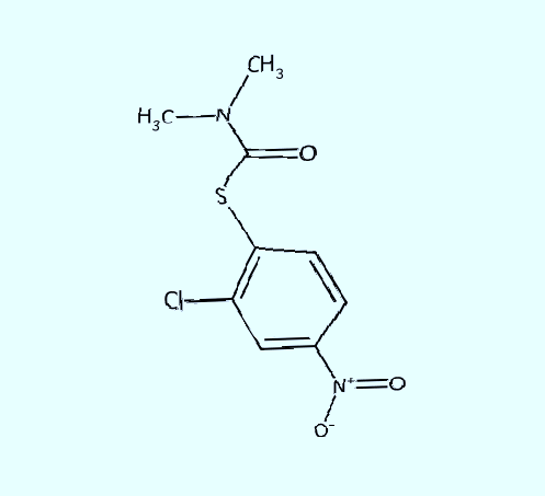 CN(C)C(=O)Sc1ccc([N+](=O)[O-])cc1Cl